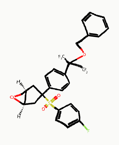 O=S(=O)(c1ccc(F)cc1)C1(c2ccc(C(OCc3ccccc3)(C(F)(F)F)C(F)(F)F)cc2)C[C@@H]2O[C@@H]2C1